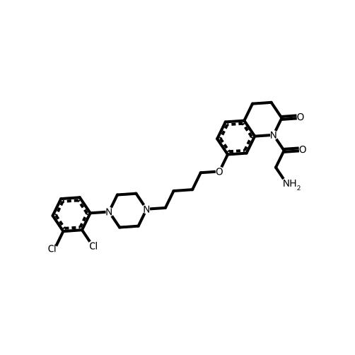 NCC(=O)N1C(=O)CCc2ccc(OCCCCN3CCN(c4cccc(Cl)c4Cl)CC3)cc21